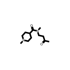 CC(=O)CCN(C)C(=O)C1CCN(C)CC1